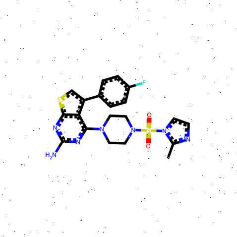 Cc1nccn1S(=O)(=O)N1CCN(c2nc(N)nc3scc(-c4ccc(F)cc4)c23)CC1